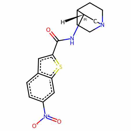 O=C(N[C@H]1CN2CCC1CC2)c1cc2ccc([N+](=O)[O-])cc2s1